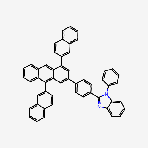 c1ccc(-n2c(-c3ccc(-c4cc(-c5ccc6ccccc6c5)c5cc6ccccc6c(-c6ccc7ccccc7c6)c5c4)cc3)nc3ccccc32)cc1